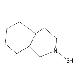 SN1CCC2CCCCC2C1